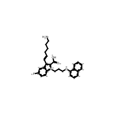 NCCCCC=Cc1c(C(=O)O)n(CCCOc2cccc3ccccc23)c2ccc(F)cc12